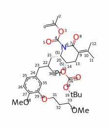 C=C(C)OC(=O)N1C(=O)C(=C(C)C)C[C@H](OC(=O)OC(C)(C)C)[C@@H]1CC(Cc1ccc(OC)c(OCCCOC)c1)C(C)C